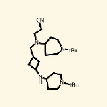 CC(C)(C)N1CCC(NC2CC(CN(CCC#N)C3CCN(C(C)(C)C)CC3)C2)CC1